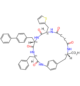 O=C1CCC(=O)N[C@H](Cc2cccs2)C(=O)N[C@@H](Cc2ccc(-c3ccccc3)cc2)C(=O)N[C@H](Cc2ccccc2)C(=O)Nc2ccc(cc2)C[C@@H](C(=O)O)N1